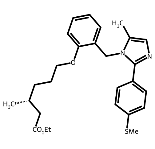 CCOC(=O)C[C@H](C)CCCOc1ccccc1Cn1c(C)cnc1-c1ccc(SC)cc1